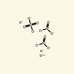 O=S(=O)([O-])[O-].O=[N+]([O-])[O-].O=[N+]([O-])[O-].[K+].[K+].[Sr+2]